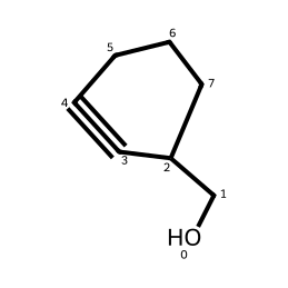 OCC1C#CCCC1